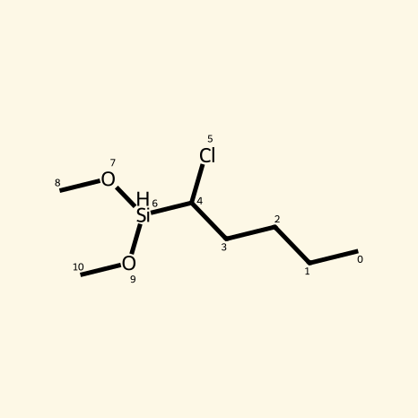 CCCCC(Cl)[SiH](OC)OC